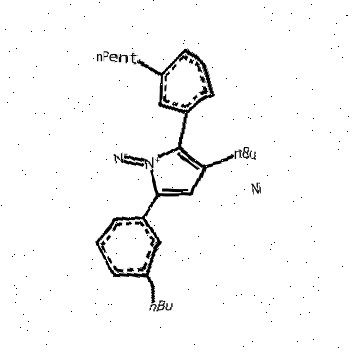 CCCCCc1cccc(C2=C(CCCC)C=C(c3cccc(CCCC)c3)[N+]2=[N-])c1.[Ni]